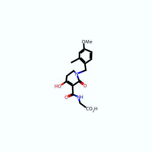 COc1ccc(CN2CCC(O)=C(C(=O)NCC(=O)O)C2=O)c(C)c1